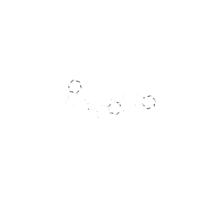 C[C@@H]1Cc2cnc(NC3Cc4ccccc4C3)nc2CN1C(=O)N[C@H](CN(C)C)c1ccccc1